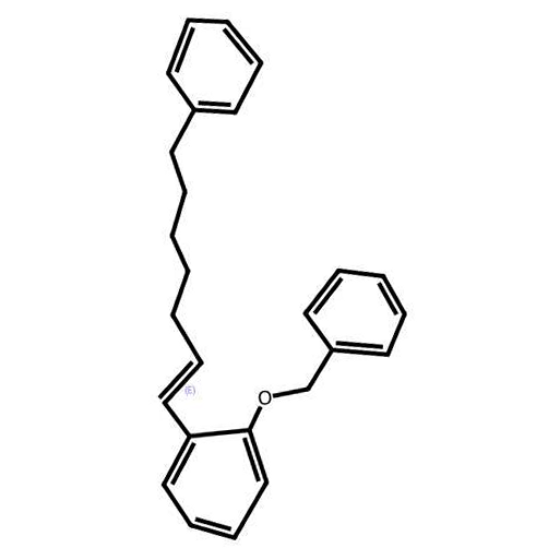 C(=C\c1ccccc1OCc1ccccc1)/CCCCCc1ccccc1